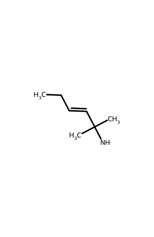 CCC=CC(C)(C)[NH]